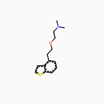 CN(C)CCOCCc1cccc2sccc12